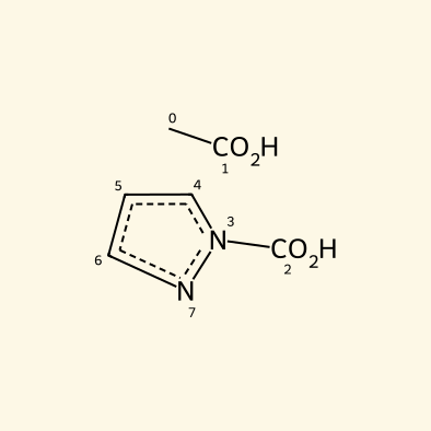 CC(=O)O.O=C(O)n1cccn1